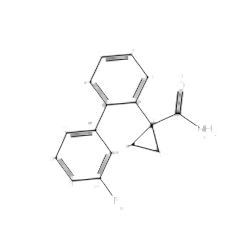 NC(=O)C1(c2ccccc2-c2cccc(F)c2)CC1